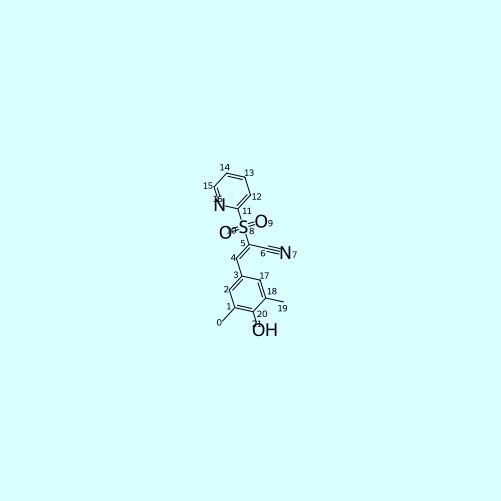 Cc1cc(/C=C(\C#N)S(=O)(=O)c2ccccn2)cc(C)c1O